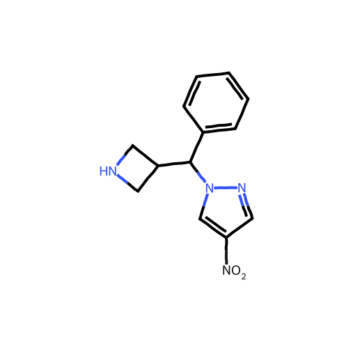 O=[N+]([O-])c1cnn(C(c2ccccc2)C2CNC2)c1